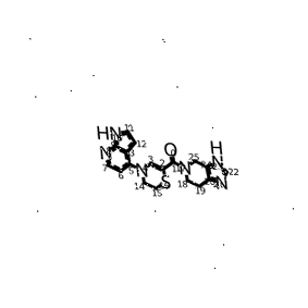 O=C(C1=CN(c2ccnc3[nH]ccc23)CCS1)N1CCc2nc[nH]c2C1